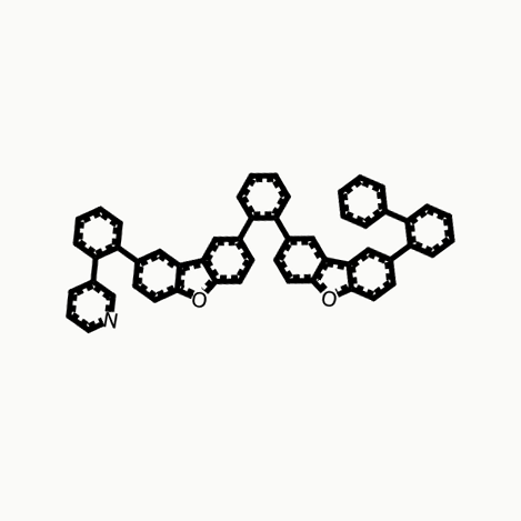 c1ccc(-c2ccccc2-c2ccc3oc4ccc(-c5ccccc5-c5ccc6oc7ccc(-c8ccccc8-c8cccnc8)cc7c6c5)cc4c3c2)cc1